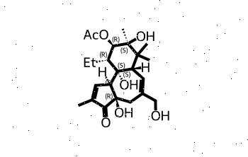 CC[C@@H]1[C@@H](OC(C)=O)[C@@](C)(O)C(C)(C)[C@@H]2C=C(CO)C[C@]3(O)C(=O)C(C)=C[C@H]3[C@@]12O